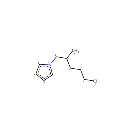 CCCCC(C)Cn1cccc1